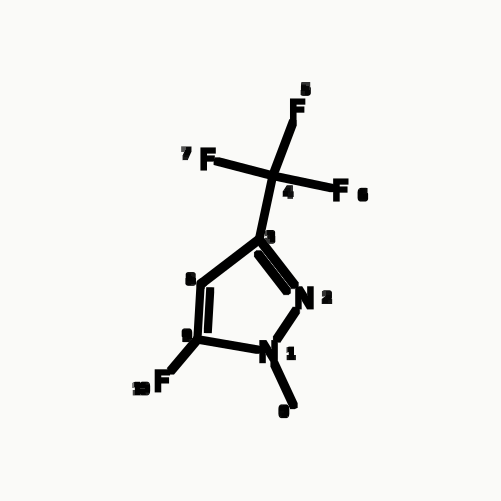 Cn1nc(C(F)(F)F)cc1F